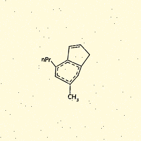 CCCc1cc(C)cc2c1C=CC2